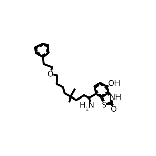 CC(C)(CCCCOCCc1ccccc1)CCC(N)c1ccc(O)c2[nH]c(=O)sc12